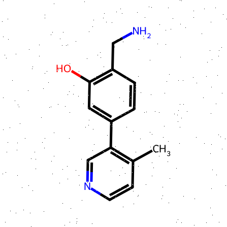 Cc1ccncc1-c1ccc(CN)c(O)c1